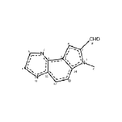 Cn1c(C=O)cc2c3nccnc3ccc21